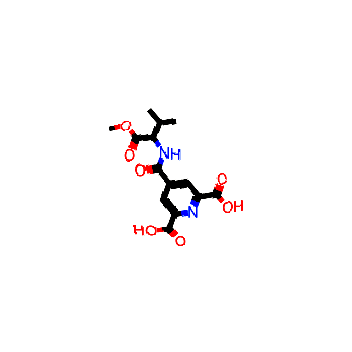 COC(=O)C(NC(=O)c1cc(C(=O)O)nc(C(=O)O)c1)C(C)C